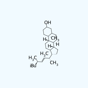 CCC(C)[C@@H](C)C=C[C@@H](C)[C@H]1CC[C@H]2[C@@H]3C=CC4CC(O)CC[C@]4(C)[C@H]3CC[C@]12C